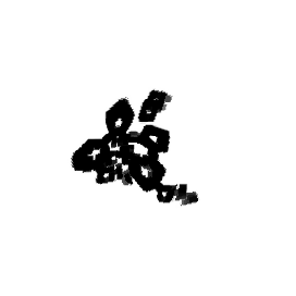 Cc1cccc(C2=[C]([Hf+2]([C]3=C(c4cccc(C)c4)C=CC3)=[Si](C)C)CC=C2)c1.[Cl-].[Cl-]